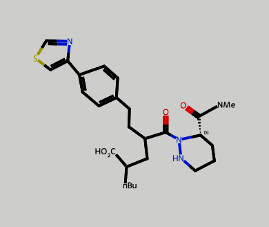 CCCCC(CC(CCc1ccc(-c2cscn2)cc1)C(=O)N1NCCC[C@H]1C(=O)NC)C(=O)O